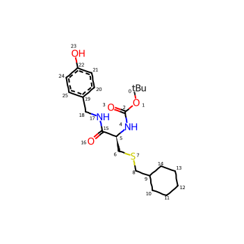 CC(C)(C)OC(=O)N[C@@H](CSCC1CCCCC1)C(=O)NCc1ccc(O)cc1